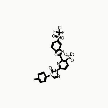 CCS(=O)(=O)c1ccc(-n2ncn(-c3ccc(I)cc3)c2=O)nc1-c1nc2cc(S(=O)(=O)C(F)(F)Cl)ccc2o1